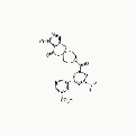 CC(C)n1ncc2c1C(=O)CC1(CCN(C(=O)c3cc(-c4cccc(C(=O)O)c4)nc(N(C)C)c3)CC1)C2